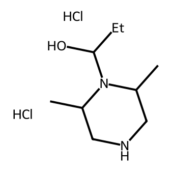 CCC(O)N1C(C)CNCC1C.Cl.Cl